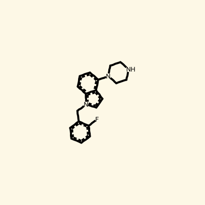 Fc1ccccc1Cn1ccc2c(N3CCNCC3)cccc21